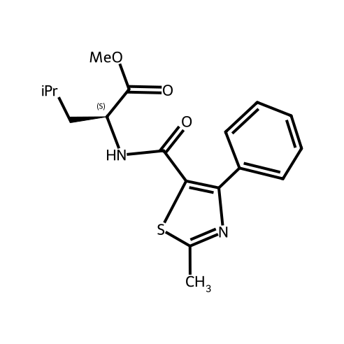 COC(=O)[C@H](CC(C)C)NC(=O)c1sc(C)nc1-c1ccccc1